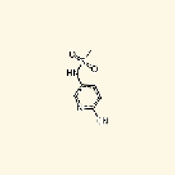 CS(=O)(=O)Nc1ccc(C#N)nc1